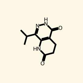 CC(C)c1n[nH]c(=O)c2c1NC(=O)CC2